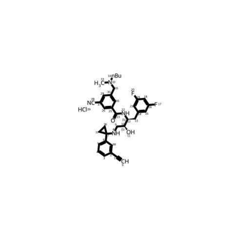 C#Cc1cccc(C2(NC[C@H](O)[C@H](Cc3cc(F)cc(F)c3)NC(=O)c3cc(C#N)cc(CN(C)CCCC)c3)CC2)c1.Cl